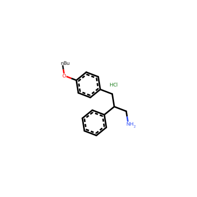 CCCCOc1ccc(CC(CN)c2ccccc2)cc1.Cl